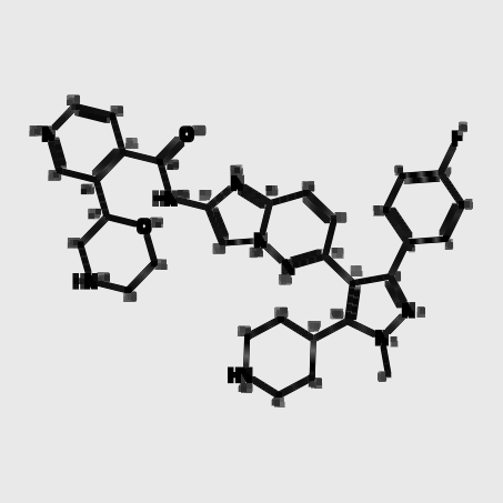 Cn1nc(-c2ccc(F)cc2)c(-c2ccc3nc(NC(=O)c4ccncc4C4CNCCO4)cn3n2)c1C1CCNCC1